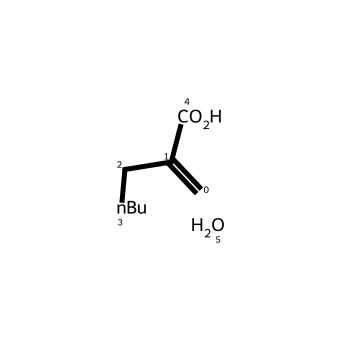 C=C(CCCCC)C(=O)O.O